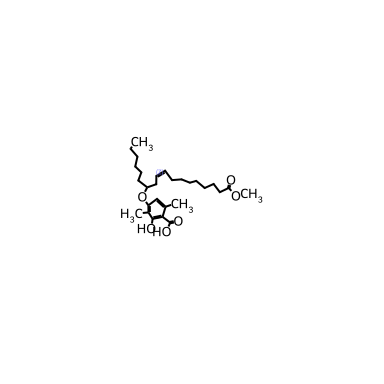 CCCCCCC(C/C=C\CCCCCCCC(=O)OC)Oc1cc(C)c(C(=O)O)c(O)c1C